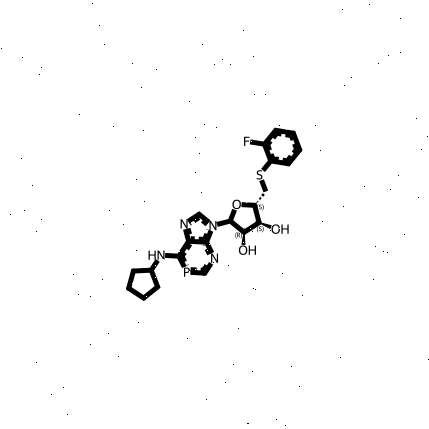 O[C@@H]1[C@@H](CSc2ccccc2F)OC(n2cnc3c(NC4CCCC4)pcnc32)[C@@H]1O